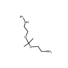 CC(C)NCCOC(C)(C)OCCN